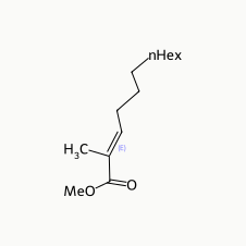 CCCCCCCCC/C=C(\C)C(=O)OC